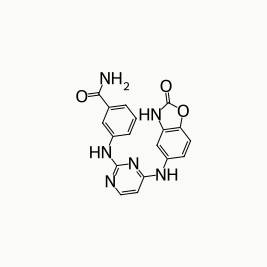 NC(=O)c1cccc(Nc2nccc(Nc3ccc4oc(=O)[nH]c4c3)n2)c1